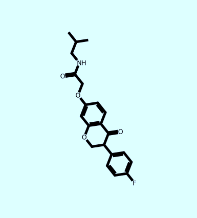 CC(C)CNC(=O)COc1ccc2c(c1)OCC(c1ccc(F)cc1)C2=O